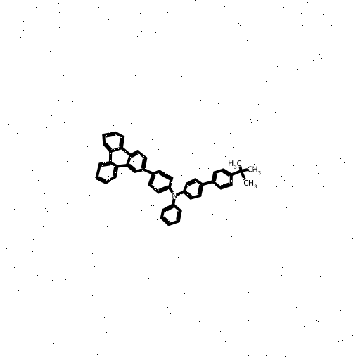 CC(C)(C)c1ccc(-c2ccc(N(c3ccccc3)c3ccc(-c4ccc5c6ccccc6c6ccccc6c5c4)cc3)cc2)cc1